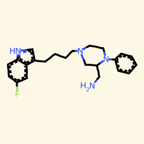 NCC1CN(CCCCc2c[nH]c3ccc(F)cc23)CCN1c1ccccc1